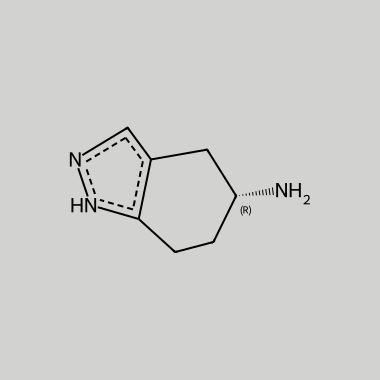 N[C@@H]1CCc2[nH]ncc2C1